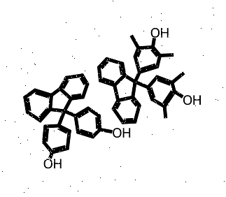 Cc1cc(C2(c3cc(C)c(O)c(C)c3)c3ccccc3-c3ccccc32)cc(C)c1O.Oc1ccc(C2(c3ccc(O)cc3)c3ccccc3-c3ccccc32)cc1